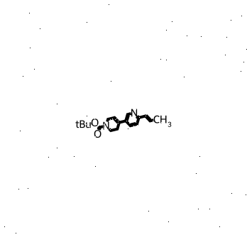 C/C=C/c1ccc(C2=CCN(C(=O)OC(C)(C)C)CC2)cn1